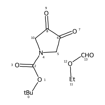 CC(C)(C)OC(=O)N1CC(=O)C(=O)C1.CCOC=O